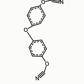 N#COc1ccc(Oc2ccc(OC#N)cc2)cc1